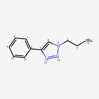 CC(C)(C)CCn1cc(-c2ccccc2)nn1